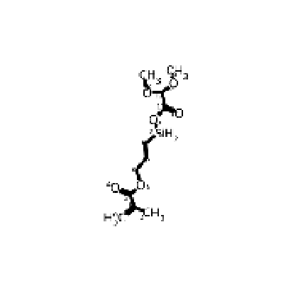 C=C(C)C(=O)OCCC[SiH2]OC(=O)C(OC)OC